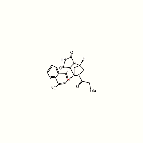 CC(C)(C)CC(=O)N1C[C@@H]2C[C@H]1[C@@]1(c3ccc(C#N)c4ncccc34)C(=O)NC(=O)N21